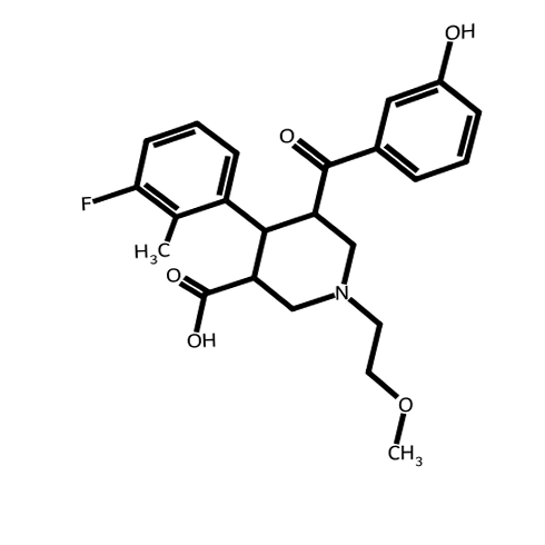 COCCN1CC(C(=O)O)C(c2cccc(F)c2C)C(C(=O)c2cccc(O)c2)C1